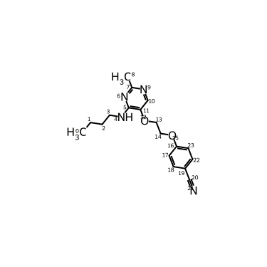 CCCCNc1nc(C)ncc1OCCOc1ccc(C#N)cc1